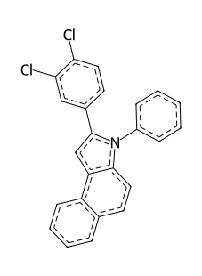 Clc1ccc(-c2cc3c4ccccc4ccc3n2-c2ccccc2)cc1Cl